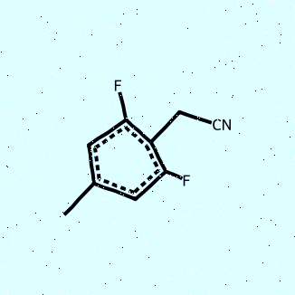 Cc1cc(F)c(CC#N)c(F)c1